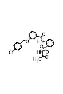 CC(=O)NS(=O)(=O)c1ccccc1NC(=O)c1cccc(OCc2ccc(Cl)cc2)c1